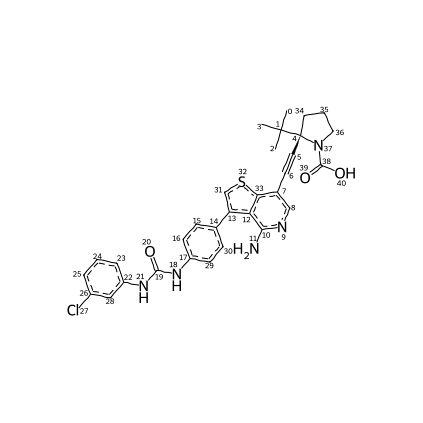 CC(C)(C)[C@]1(C#Cc2cnc(N)c3c(-c4ccc(NC(=O)Nc5cccc(Cl)c5)cc4)csc23)CCCN1C(=O)O